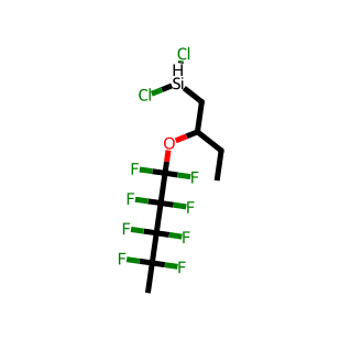 CCC(C[SiH](Cl)Cl)OC(F)(F)C(F)(F)C(F)(F)C(C)(F)F